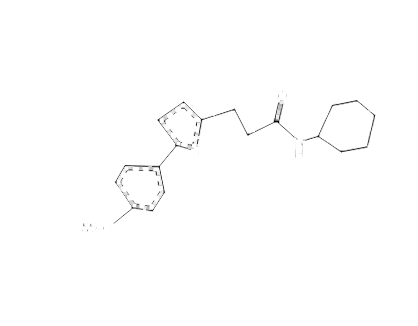 COc1ccc(-c2ccc(CCC(=O)NC3CCCCC3)s2)cc1